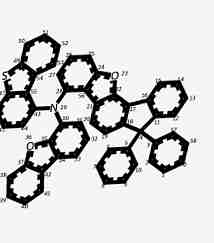 c1ccc(C2(c3ccccc3)c3ccccc3-c3c2ccc2c3oc3cccc(N(c4cccc5c4oc4ccccc45)c4cccc5sc6ccccc6c45)c32)cc1